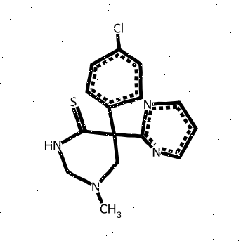 CN1CNC(=S)C(c2ccc(Cl)cc2)(c2ncccn2)C1